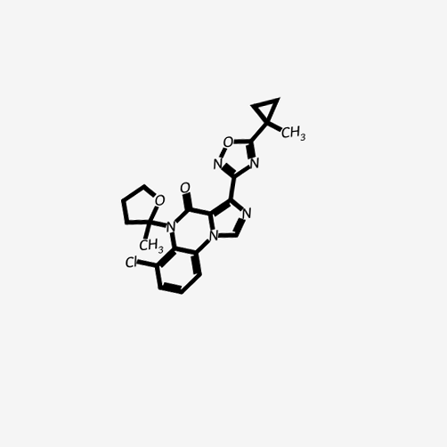 CC1(c2nc(-c3ncn4c3c(=O)n(C3(C)CCCO3)c3c(Cl)cccc34)no2)CC1